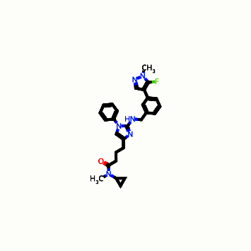 CN(C(=O)CCCc1cn(-c2ccccc2)c(NCc2cccc(-c3cnn(C)c3F)c2)n1)C1CC1